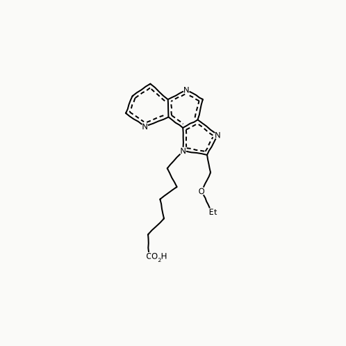 CCOCc1nc2cnc3cccnc3c2n1CCCCCC(=O)O